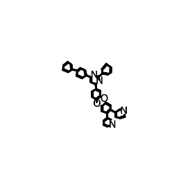 c1ccc(-c2ccc(-c3cc(-c4ccc5c(c4)Oc4cc(-c6cccnc6)c(-c6cccnc6)cc4O5)nc(-c4ccccc4)n3)cc2)cc1